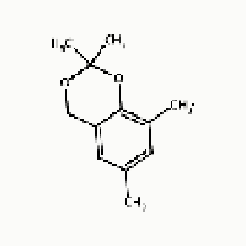 [CH2]c1cc(C)cc2c1OC(C)(C)OC2